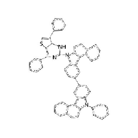 C1=C(c2ccccc2)C2NC(n3c4ccc(-c5ccc6c(c5)c5c7ccccc7ccc5n6-c5ccccc5)cc4c4c5ccccc5ccc43)=NC(c3ccccc3)=C2S1